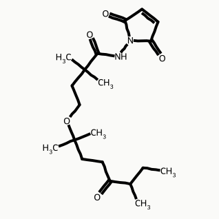 CCC(C)C(=O)CCC(C)(C)OCCC(C)(C)C(=O)NN1C(=O)C=CC1=O